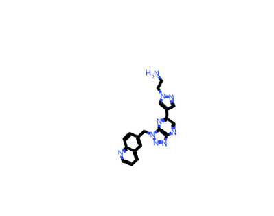 NCCn1cc(-c2cnc3nnn(Cc4ccc5ncccc5c4)c3n2)cn1